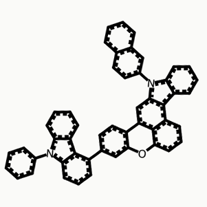 c1ccc(-n2c3ccccc3c3c(-c4ccc5c(c4)Oc4cccc6c4c-5cc4c6c5ccccc5n4-c4ccc5ccccc5c4)cccc32)cc1